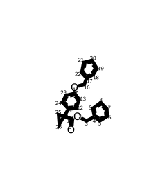 O=C(OCc1ccccc1)C1(c2ccc(OCc3ccccc3)cc2)CC1